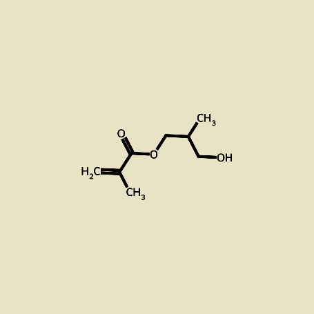 C=C(C)C(=O)OCC(C)CO